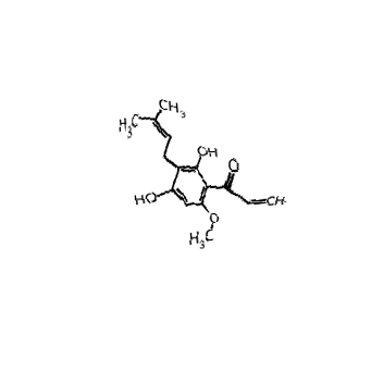 [CH]=CC(=O)c1c(OC)cc(O)c(CC=C(C)C)c1O